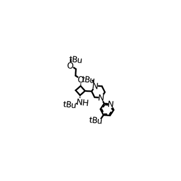 CC(C)(C)N[C@@H]1C[C@H](OCCOC(C)(C)C)C1C1CN(c2cc(C(C)(C)C)ccn2)CCN1C(C)(C)C